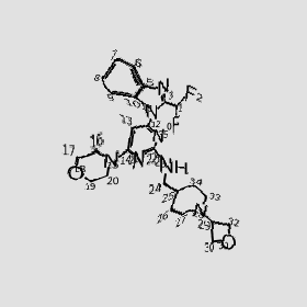 FC(F)c1nc2ccccc2n1-c1cc(N2CCOCC2)nc(NCC2CCN(C3COC3)CC2)n1